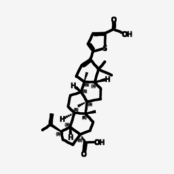 C=C(C)[C@@H]1CC[C@]2(C(=O)O)CC[C@]3(C)[C@H](CC[C@@H]4[C@@]5(C)CC=C(c6ccc(C(=O)O)s6)C(C)(C)[C@@H]5CC[C@]43C)[C@@H]12